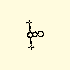 C[Si](C)(C)C#Cc1ccc(C#C[Si](C)(C)C)c2c1CC1(CCCCC1)C2